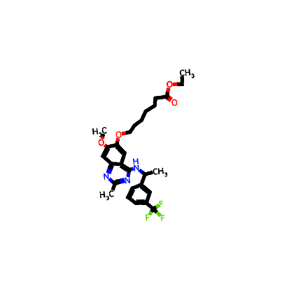 CCOC(=O)CCCCCCOc1cc2c(NC(C)c3cccc(C(F)(F)F)c3)nc(C)nc2cc1OC